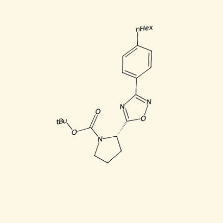 CCCCCCc1ccc(-c2noc([C@@H]3CCCN3C(=O)OC(C)(C)C)n2)cc1